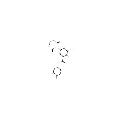 COc1c(C(=O)Nc2ccc(O)cc2)cc(N2C(=O)CCNC2=O)cc1C(C)(C)C